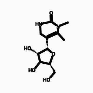 CC1=C([C@@H]2O[C@H](CO)C(O)[C@@H]2O)CNC(=O)N1C